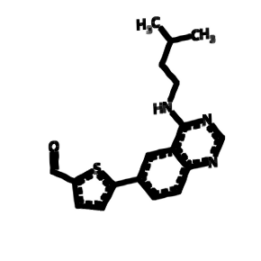 CC(C)CCNc1ncnc2ccc(-c3ccc(C=O)s3)cc12